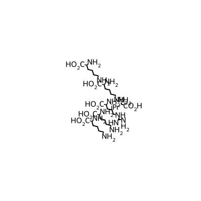 CC(C)[C@H](N)C(=O)O.N=C(N)NCCC[C@H](N)C(=O)O.NCCCC[C@H](N)C(=O)O.NCCCC[C@H](N)C(=O)O.NCCCC[C@H](N)C(=O)O.NCCCC[C@H](N)C(=O)O